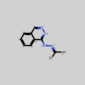 CCC/C(CC)=N/Nc1nncc2ccccc12